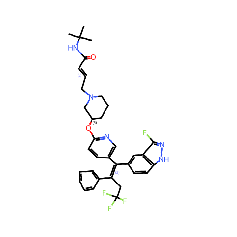 CC(C)(C)NC(=O)/C=C/CN1CCC[C@@H](Oc2ccc(/C(=C(/CC(F)(F)F)c3ccccc3)c3ccc4[nH]nc(F)c4c3)cn2)C1